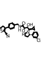 N#CC1=C(c2ccc(CNC(=O)C(O)[C@@H](O)C(=C3CC3)N3CCC[C@@H]3c3cccc(Cl)c3)cc2)CCS1